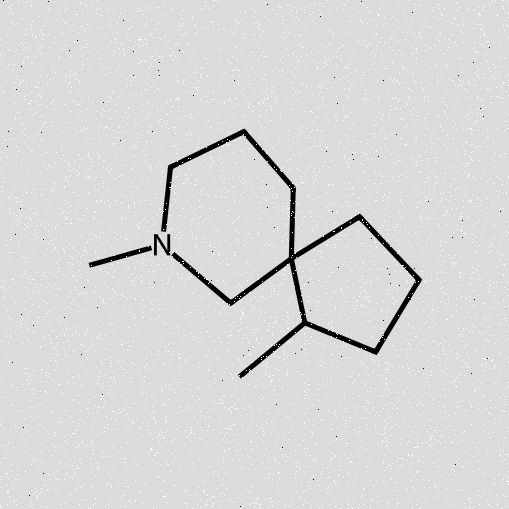 CC1CCCC12CCCN(C)C2